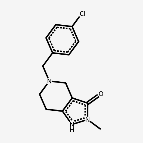 Cn1[nH]c2c(c1=O)CN(Cc1ccc(Cl)cc1)CC2